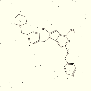 Nc1nc(OCc2ccncc2)nc2c1cc(Br)n2Cc1ccc(CN2CCCCC2)cc1